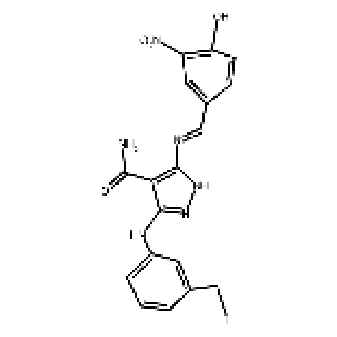 NC(=O)c1c(Nc2cccc(CI)c2)n[nH]c1N=Cc1ccc(O)c([N+](=O)[O-])c1